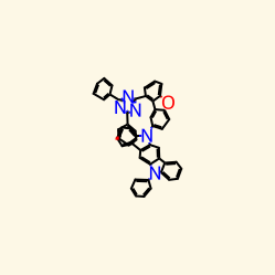 c1ccc(-c2nc(-c3ccccc3)nc(-c3cccc4oc5ccc(-n6c7ccccc7c7cc8c(cc76)c6ccccc6n8-c6ccccc6)cc5c34)n2)cc1